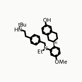 CCN(Cc1ccc(CCNC(C)(C)C)cc1)c1cc(OC)ccc1[C@@H]1CCc2cc(O)ccc2C1